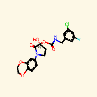 O=C(NCc1cc(F)cc(Cl)c1)O[C@@]1(O)CCN(c2ccc3c(c2)OCCO3)C1=O